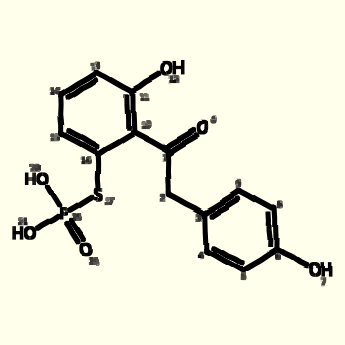 O=C(Cc1ccc(O)cc1)c1c(O)cccc1SP(=O)(O)O